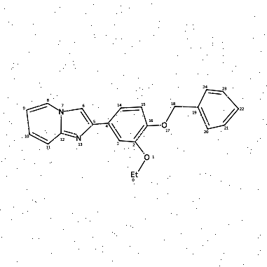 CCOc1cc(-c2cn3ccccc3n2)ccc1OCc1ccccc1